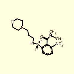 CN(C)C(=O)c1c([N+](=O)[O-])cccc1S(=O)(=O)NCCCN1CCOCC1